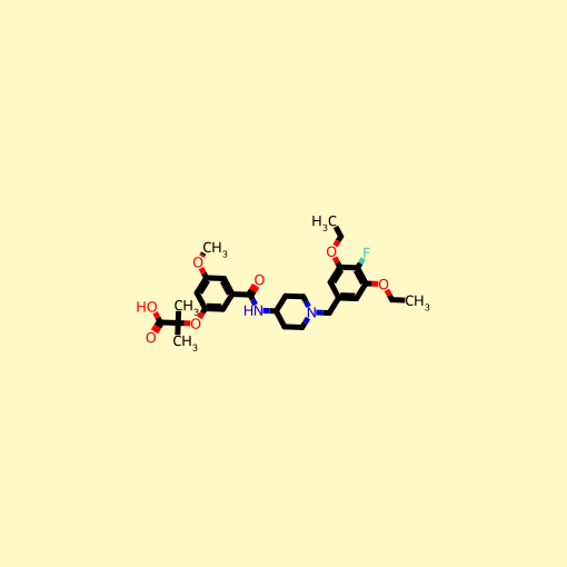 CCOc1cc(CN2CCC(NC(=O)c3cc(OC)cc(OC(C)(C)C(=O)O)c3)CC2)cc(OCC)c1F